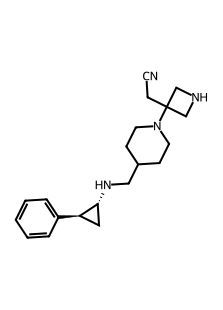 N#CCC1(N2CCC(CN[C@@H]3C[C@H]3c3ccccc3)CC2)CNC1